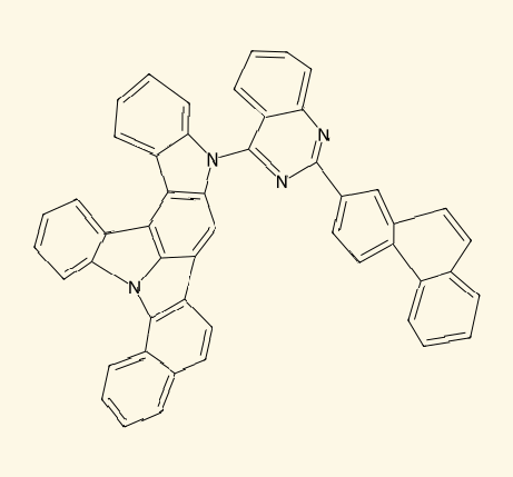 c1ccc2c(c1)ccc1cc(-c3nc(-n4c5ccccc5c5c6c7ccccc7n7c8c9ccccc9ccc8c(cc54)c67)c4ccccc4n3)ccc12